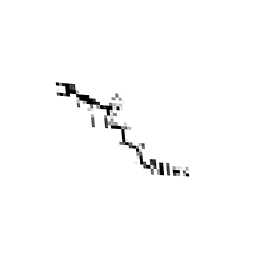 CCCCCCCCCCNC(=O)C#CCl